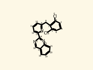 Clc1cccc(Cl)c1Cc1cccc(-c2ncc3ccccc3n2)n1